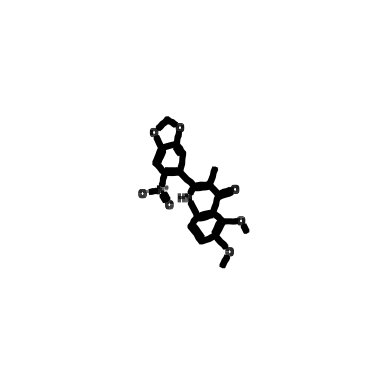 COc1ccc2[nH]c(-c3cc4c(cc3[N+](=O)[O-])OCO4)c(C)c(=O)c2c1OC